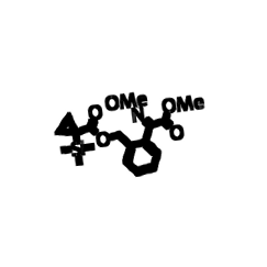 CON=C(C(=O)OC)c1ccccc1COC(=O)C1([Si](C)(C)C)CC1